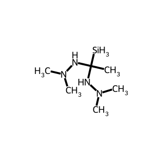 CN(C)NC(C)([SiH3])NN(C)C